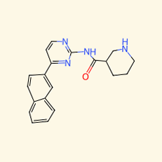 O=C(Nc1nccc(-c2ccc3ccccc3c2)n1)C1CCCNC1